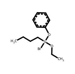 CCCC[Si](Br)(OCC)Oc1ccccc1